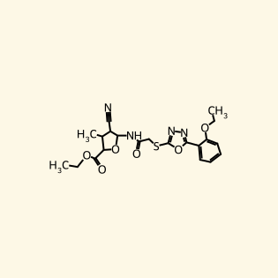 CCOC(=O)C1OC(NC(=O)CSc2nnc(-c3ccccc3OCC)o2)C(C#N)C1C